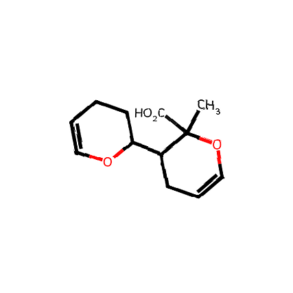 CC1(C(=O)O)OC=CCC1C1CCC=CO1